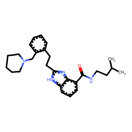 CC(C)CCNC(=O)c1cccc2[nH]c([CH]Cc3ccccc3CN3CCCCC3)nc12